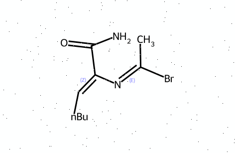 CCCC/C=C(\N=C(/C)Br)C(N)=O